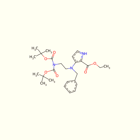 CCOC(=O)c1[nH]ccc1N(CCN(C(=O)OC(C)(C)C)C(=O)OC(C)(C)C)Cc1ccccc1